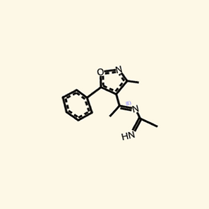 CC(=N)/N=C(\C)c1c(C)noc1-c1ccccc1